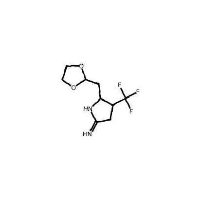 N=C1CC(C(F)(F)F)C(CC2OCCO2)N1